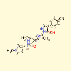 C=C/C(=C\N=C(/C)n1ncc(-c2ccc(C#N)cc2)c1O)C(=O)NCC1CCN(C)CC1